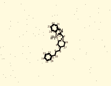 CC(C)n1c(CN2CCC(CCCc3ccccc3)CC2)nc2ccccc21